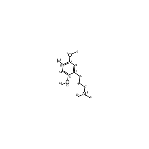 COc1cc(CCCN(C)C)c(OC)cc1I